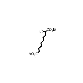 CCOC(=O)C(CC)CCCCCCCC(=O)O